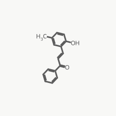 Cc1ccc(O)c(C=CC(=O)c2ccccc2)c1